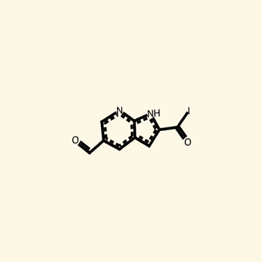 O=Cc1cnc2[nH]c(C(=O)I)cc2c1